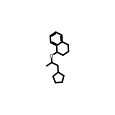 CC(CC1CCCC1)OC1CCCc2ccccc21